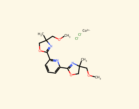 COCC1(C)COC(c2cccc(C3=NC(C)(COC)CO3)n2)=N1.[Cl-].[Cl-].[Co+2]